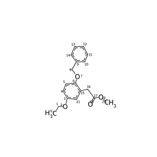 CCOc1ccc(OCc2ccccc2)c(CC(=O)OC)c1